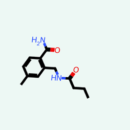 CCCC(=O)NCc1cc(C)ccc1C(N)=O